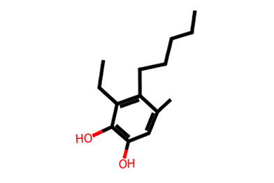 CCCCCc1c(C)cc(O)c(O)c1CC